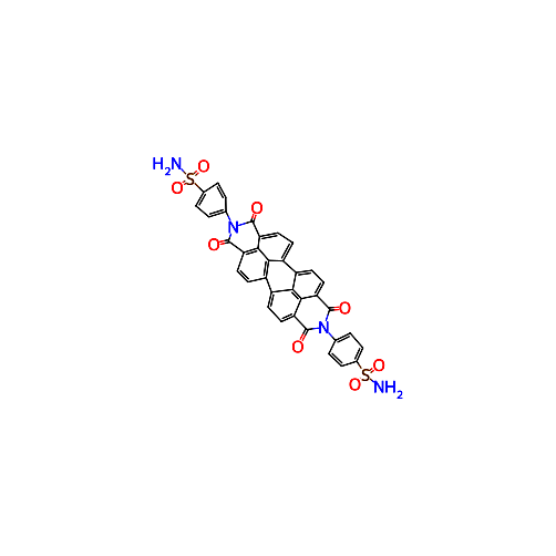 NS(=O)(=O)c1ccc(N2C(=O)c3ccc4c5ccc6c7c(ccc(c8ccc(c3c48)C2=O)c75)C(=O)N(c2ccc(S(N)(=O)=O)cc2)C6=O)cc1